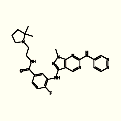 Cn1nc(Nc2cc(C(=O)NCCN3CCCC3(C)C)ccc2F)c2cnc(Nc3ccnnc3)nc21